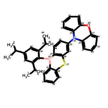 CC(C)c1cc(C(C)C)c(B2c3ccccc3Sc3cc(N4c5ccccc5Oc5ccccc54)ccc32)c(C(C)C)c1